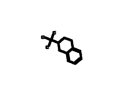 ClC(Cl)(Cl)C1[CH]c2ccccc2CC1